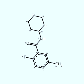 Cc1ccc(F)c(C(=O)NC2CCCCC2)c1